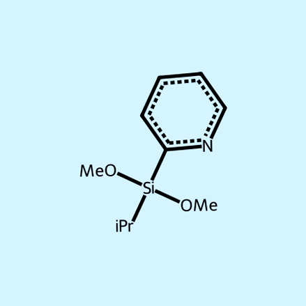 CO[Si](OC)(c1ccccn1)C(C)C